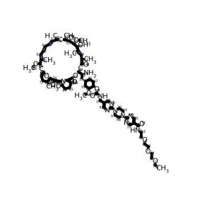 CCOCCOCCOCCNC(=O)c1cnc(N2CCN(c3ncc(CNC(=O)O[C@@H]4CC[C@@H](C[C@@H](N)[C@@H]5CC(=O)[C@H](C)/C=C(\C)[C@@H](O)[C@@H](OC)C(=O)[C@H](C)C[C@H](C)/C=C/C=C/C=C(\C)C(OC)C[C@@H]6CC[C@@H](C)[C@@](O)(O6)C(=O)C(=O)N6CCCC[C@H]6C(=O)O5)C[C@H]4OC)cn3)CC2)nc1